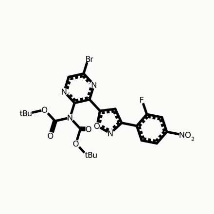 CC(C)(C)OC(=O)N(C(=O)OC(C)(C)C)c1ncc(Br)nc1-c1cc(-c2ccc([N+](=O)[O-])cc2F)no1